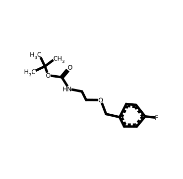 CC(C)(C)OC(=O)NCCOCc1ccc(F)cc1